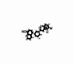 C[C@@H]1C[C@H](c2ccc(C#N)c3ncccc23)CN(C(=O)CN2C[C@H]3CC[C@@H]2CN3)C1